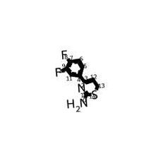 NC1=NC(c2ccc(F)c(F)c2)=CCS1